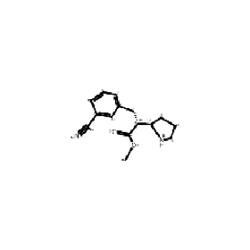 COC(=O)[C@H](Cc1cccc(C#N)c1)C1CCCN1